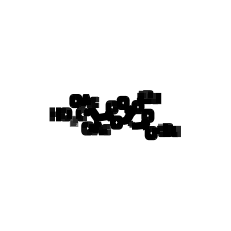 CC(=O)O[C@@H](C(=O)O)[C@@H](OC(C)=O)C(=O)O[C@@H](CC(=O)OC(C)(C)C)C(=O)OC(C)(C)C